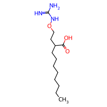 CCCCCCCCC(CCONC(=N)N)C(=O)O